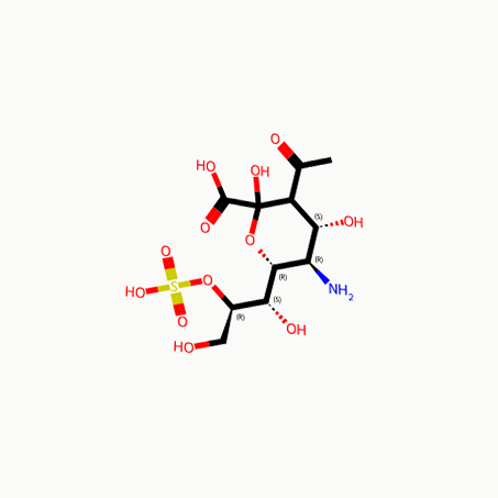 CC(=O)C1[C@H](O)[C@@H](N)[C@H]([C@H](O)[C@@H](CO)OS(=O)(=O)O)OC1(O)C(=O)O